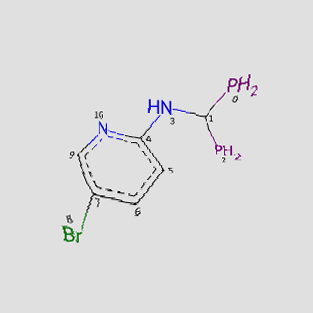 PC(P)Nc1ccc(Br)cn1